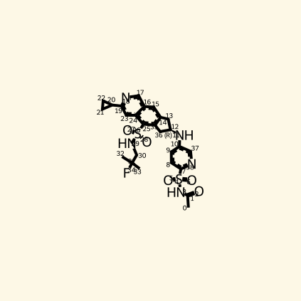 CC(=O)NS(=O)(=O)c1ccc(N[C@@H]2Cc3cc4cnc(C5CC5)cc4c(S(=O)(=O)NCC(C)(C)F)c3C2)cn1